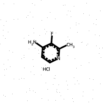 Cc1nccc(N)c1F.Cl